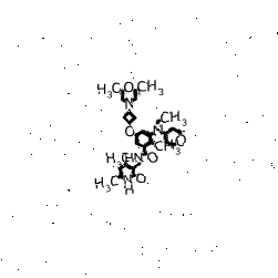 CCN(c1cc(O[C@H]2C[C@H](N3C[C@@H](C)O[C@@H](C)C3)C2)cc(C(=O)NCc2c(C)cc(C)[nH]c2=O)c1C)C1CCOCC1